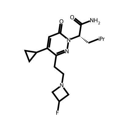 CC(C)C[C@@H](C(N)=O)n1nc(CCN2CC(F)C2)c(C2CC2)cc1=O